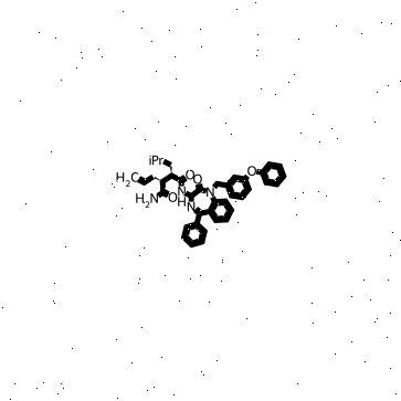 C=CC[C@@H](C(N)=O)[C@H](CC(C)C)C(=O)NC1N=C(c2ccccc2)c2ccccc2N(Cc2cccc(Oc3ccccc3)c2)C1=O